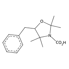 CC1(C)OC(Cc2ccccc2)C(C)(C)N1C(=O)O